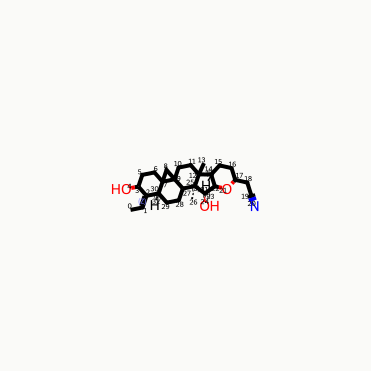 C/C=C1\C(O)CCC23CC24CCC2(C)[C@H]5CCC(CC#N)OC5[C@H](O)[C@@]2(C)C4CC[C@@H]13